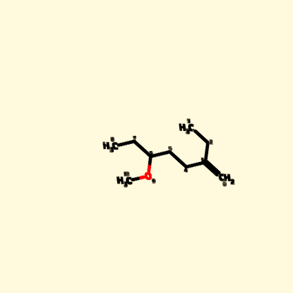 C=C(CC)CCC(CC)OC